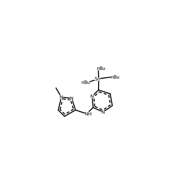 CCC[CH2][Sn]([CH2]CCC)([CH2]CCC)[c]1ccnc(Nc2ccn(C)n2)n1